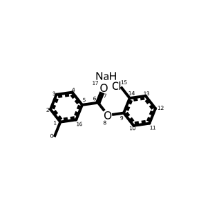 Cc1cccc(C(=O)Oc2ccccc2Cl)c1.[NaH]